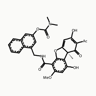 COc1cc(O)c2c(c1C(=O)NCc1cc(OC(=O)N(C)C)cc3ccccc13)OC1=CC(O)=C(C(C)=O)C(=O)[C@]12C